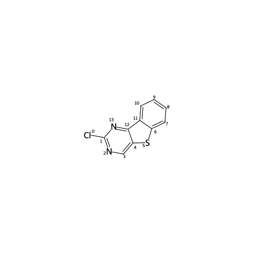 Clc1ncc2sc3ccccc3c2n1